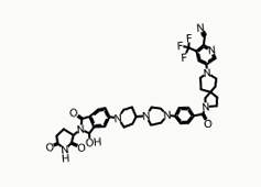 N#Cc1ncc(N2CCC3(CCN(C(=O)c4ccc(N5CCN(C6CCN(c7ccc8c(c7)C(O)N(C7CCC(=O)NC7=O)C8=O)CC6)CC5)cc4)C3)CC2)cc1C(F)(F)F